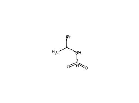 CC(C)C(C)N[SH](=O)=O